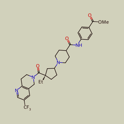 CC[C@]1(C(=O)N2CCc3ncc(C(F)(F)F)cc3C2)CCC(N2CCC(C(=O)Nc3ccc(C(=O)OC)cc3)CC2)C1